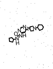 O=C(Nc1cc(N2CCN(C3CCCCC3)CC2)ncn1)NC1CCCC1